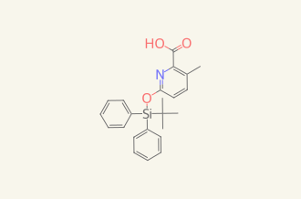 Cc1ccc(O[Si](c2ccccc2)(c2ccccc2)C(C)(C)C)nc1C(=O)O